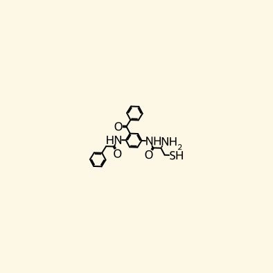 N[C@@H](CS)C(=O)Nc1ccc(NC(=O)Cc2ccccc2)c(C(=O)c2ccccc2)c1